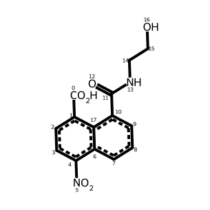 O=C(O)c1ccc([N+](=O)[O-])c2cccc(C(=O)NCCO)c12